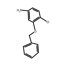 Nc1ccc(Cl)c(OCc2ccccc2)c1